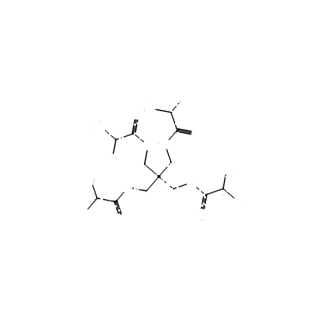 CCCCC(CC)C(=O)OCC(COC(=O)C(CC)CCCC)(COC(=O)C(CC)CCCC)COC(=O)C(CC)CCCC